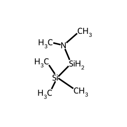 CN(C)[SiH2][Si](C)(C)C